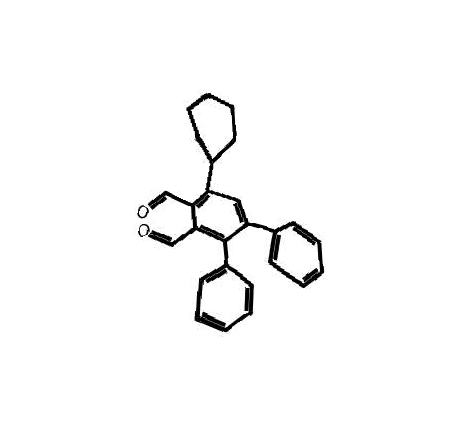 O=Cc1c(C2CCCCC2)cc(-c2ccccc2)c(-c2ccccc2)c1C=O